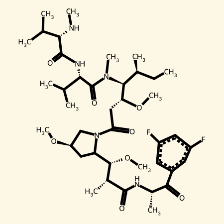 CC[C@H](C)[C@@H]([C@@H](CC(=O)N1C[C@H](OC)CC1[C@H](OC)[C@@H](C)C(=O)N[C@@H](C)C(=O)c1cc(F)cc(F)c1)OC)N(C)C(=O)[C@@H](NC(=O)[C@@H](NC)C(C)C)C(C)C